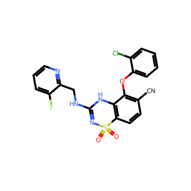 N#Cc1ccc2c(c1Oc1ccccc1Cl)NC(NCc1ncccc1F)=NS2(=O)=O